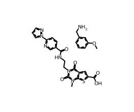 COc1cccc(CN)c1.Cn1c(=O)n(CCNC(=O)c2ccc(-n3cccn3)nc2)c(=O)c2cc(C(=O)O)sc21